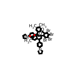 Cc1ccc(/C(=C\C2(/C=C(/c3ccc(N4CCCC4)cc3)c3ccc(C)c(C)c3)OC(=O)c3c(Br)c(Br)c(Br)c(Br)c32)c2ccc(N3CCCC3)cc2)cc1C